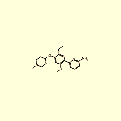 CCc1cc(-c2cccc(N)n2)c(OC)cc1OC1CCN(C)CC1